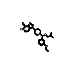 CCOc1cccc(C(OCC(C)C)N2CCC(n3cnc4c(=O)[nH]ccc43)CC2)c1